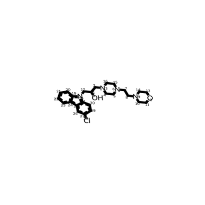 OC(CN1CCN(CCN2CCOCC2)CC1)Cn1c2ccccc2c2cc(Cl)ccc21